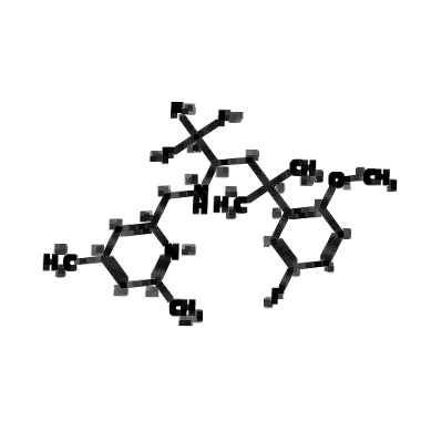 COc1ccc(F)cc1C(C)(C)CC(NCc1cc(C)cc(C)n1)C(F)(F)F